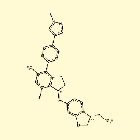 Cn1cc(-c2ccc(-c3c(C(F)(F)F)cc(F)c4c3CC[C@H]4Oc3ccc4c(c3)OC[C@H]4CC(=O)O)cc2)cn1